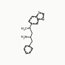 CN(CC(N)Cc1ccccc1)c1ccc2scnc2c1